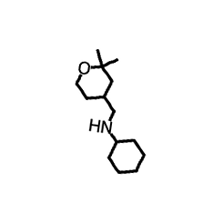 CC1(C)CC(CNC2CCCCC2)CCO1